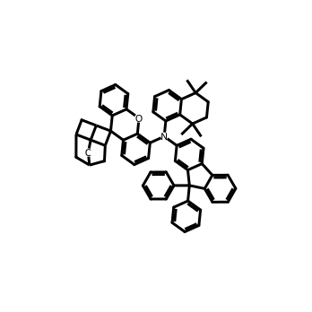 CC1(C)CCC(C)(C)c2c(N(c3ccc4c(c3)C(c3ccccc3)(c3ccccc3)c3ccccc3-4)c3cccc4c3Oc3ccccc3C43C4CC5CC6CC3C64C5)cccc21